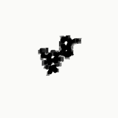 CC1(C)O[C@@H]2[C@H](O1)[C@@H](CO)O[C@H]2n1cnc2c(S)ncnc21